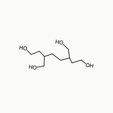 OCCC(CO)CCC(CO)CCO